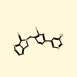 O=C1c2ncccc2CN1Cc1ccc(-c2cncc(Cl)c2)cc1F